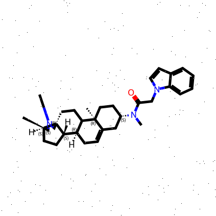 C[C@H]1[C@H]2CC[C@H]3[C@@H]4CC=C5C[C@@H](N(C)C(=O)Cn6ccc7ccccc76)CC[C@]5(C)C4CC[C@]23CN1C